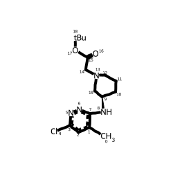 Cc1cc(Cl)nnc1N[C@@H]1CCCN(CC(=O)OC(C)(C)C)C1